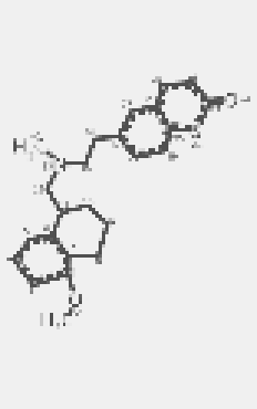 COc1cccc2c1CCCC2CN(C)CCc1ccc2sc(=O)ccc2c1